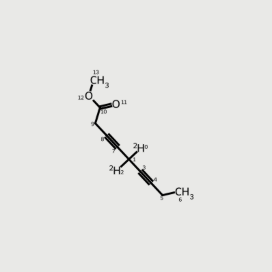 [2H]C([2H])(C#CCC)C#CCC(=O)OC